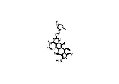 Cc1c(-c2ccc(F)c3sc(N)c(C#N)c23)c(F)c2nc(OC[C@@H]3C[C@@H](F)CN3C)nc3c2c1OC[C@H](C)N3C